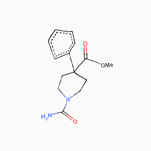 COC(=O)C1(c2ccccc2)CCN(C(N)=O)CC1